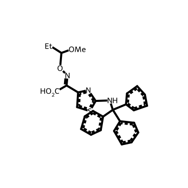 CCC(OC)ON=C(C(=O)O)c1csc(NC(c2ccccc2)(c2ccccc2)c2ccccc2)n1